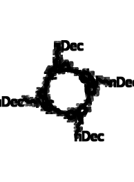 CCCCCCCCCCCCCCn1c2ccc3cc2c2cc(ccc21)C#Cc1ccc2c(c1)c1cc(ccc1n2CCCCCCCCCCCCCC)C#Cc1ccc2c(c1)c1cc(ccc1n2CCCCCCCCCCCCCC)C#Cc1ccc2c(c1)c1cc(ccc1n2CCCCCCCCCCCCCC)C#C3